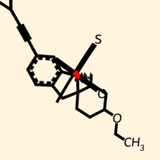 CCOC1CCC2(CC1)Cc1ccc(C#CC3CC3)cc1C21NC(=S)NC1=O